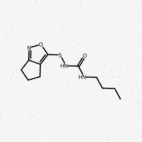 CCCCNC(=O)NSc1onc2c1CCC2